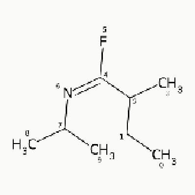 CCC(C)/C(F)=N\C(C)C